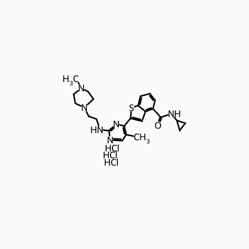 Cc1cnc(NCCN2CCN(C)CC2)nc1-c1cc2c(C(=O)NC3CC3)cccc2s1.Cl.Cl.Cl